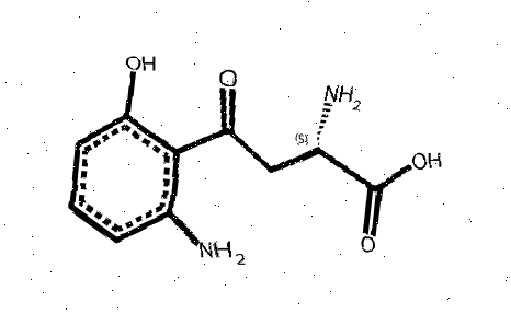 Nc1cccc(O)c1C(=O)C[C@H](N)C(=O)O